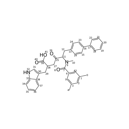 Cc1cc(C)cc(C(=O)N(C)C(Cc2ccc(-c3ccccc3)cc2)C(=O)CC(Cc2c[nH]c3ccccc23)C(=O)O)c1